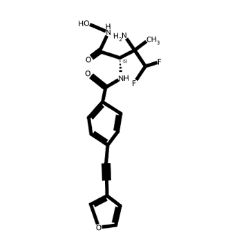 CC(N)(C(F)F)[C@H](NC(=O)c1ccc(C#Cc2ccoc2)cc1)C(=O)NO